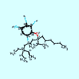 CCCCCC[Si](CCC[Si](CC)(CC)CC)(Oc1c(F)[c]c(F)c(F)c1F)C(C)C